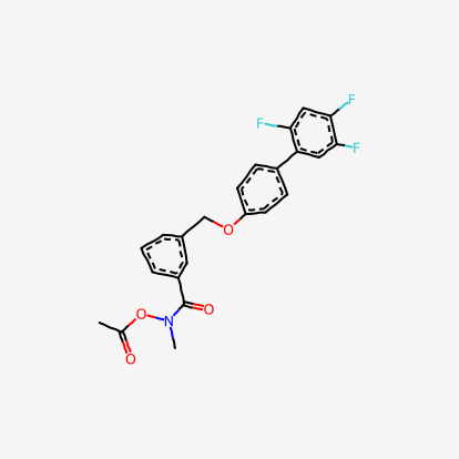 CC(=O)ON(C)C(=O)c1cccc(COc2ccc(-c3cc(F)c(F)cc3F)cc2)c1